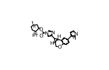 CC(C)[C@@H]1CC[C@@H](C)C[C@H]1OC(=O)n1cnc(C2[C@H]3COc4ccc(-c5ccnn5C)cc4[C@@H]23)c1